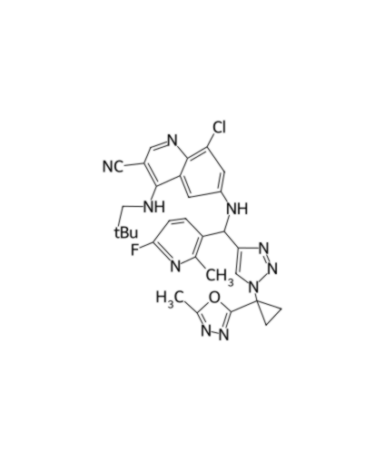 Cc1nnc(C2(n3cc(C(Nc4cc(Cl)c5ncc(C#N)c(NCC(C)(C)C)c5c4)c4ccc(F)nc4C)nn3)CC2)o1